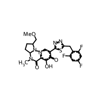 COCC1CCC2N(C)C(=O)c3c(O)c(=O)c(-c4nnc(Cc5c(F)cc(F)cc5F)s4)cn3N12